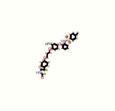 CCCc1cc(Oc2ccccc2NS(=O)(=O)c2ccc(C)cc2)ccc1OCCCOc1ccc(C2(F)SC(=O)NC2=O)cc1